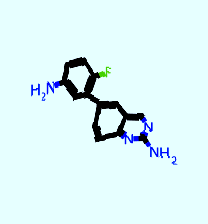 Nc1ccc(F)c(-c2ccc3nc(N)ncc3c2)c1